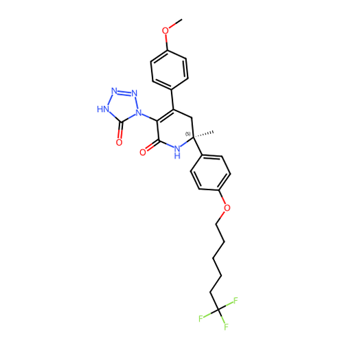 COc1ccc(C2=C(n3nn[nH]c3=O)C(=O)N[C@](C)(c3ccc(OCCCCCC(F)(F)F)cc3)C2)cc1